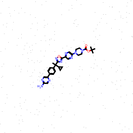 CC(C)(C)OC(=O)N1CCN(c2cnc(-c3nc(C(C)(c4ccc(-c5cnc(N)cn5)cc4)C4CC4)no3)cn2)CC1